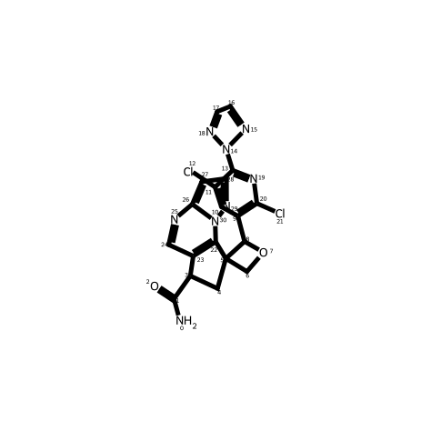 NC(=O)C1CC2(COC2c2cc(Cl)c(-n3nccn3)nc2Cl)c2c1cnc1ccnn21